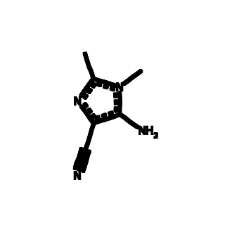 Cc1nc(C#N)c(N)n1C